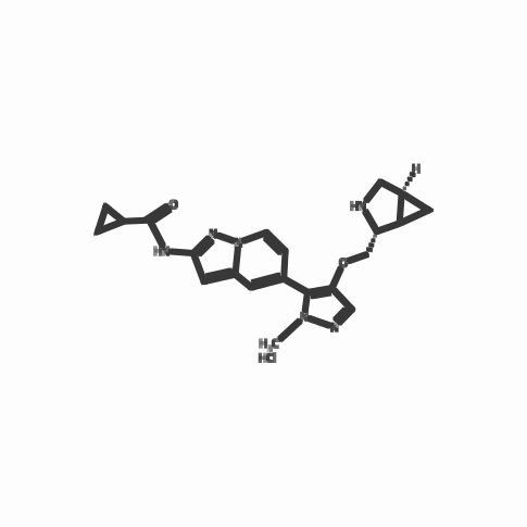 Cl.Cn1ncc(OC[C@@H]2NC[C@H]3CC32)c1-c1ccn2nc(NC(=O)C3CC3)cc2c1